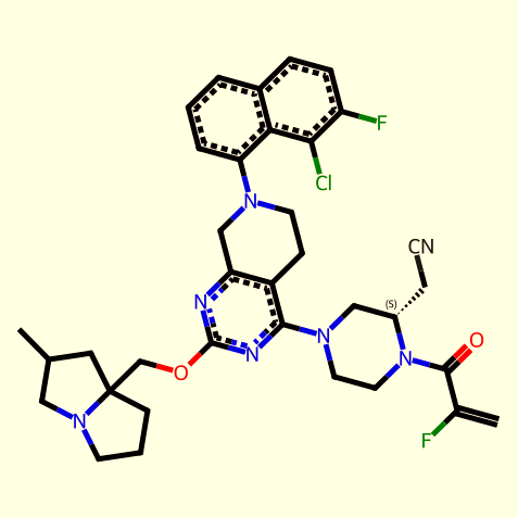 C=C(F)C(=O)N1CCN(c2nc(OCC34CCCN3CC(C)C4)nc3c2CCN(c2cccc4ccc(F)c(Cl)c24)C3)C[C@@H]1CC#N